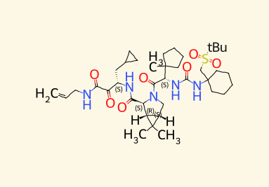 C=CCNC(=O)C(=O)[C@H](CC1CC1)NC(=O)[C@@H]1[C@@H]2[C@H](CN1C(=O)[C@@H](NC(=O)NC1(CS(=O)(=O)C(C)(C)C)CCCCC1)C1(C)CCCC1)C2(C)C